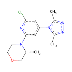 Cc1nnc(C)n1-c1cc(Cl)nc(N2CCOC[C@H]2C)c1